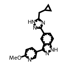 COc1ccc(-c2n[nH]c3ccc(-c4n[nH]c(CC5CC5)n4)cc23)cn1